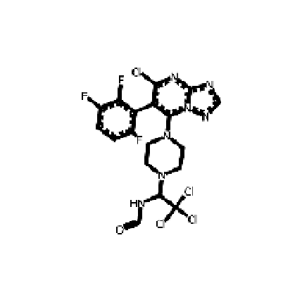 O=CNC(N1CCN(c2c(-c3c(F)ccc(F)c3F)c(Cl)nc3ncnn23)CC1)C(Cl)(Cl)Cl